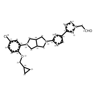 O=CCn1nnc(-c2cnc(N3CC4CN(c5cc(Cl)ccc5OCC5CC5)CC4C3)s2)n1